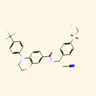 CCS(=O)(=O)c1ccc([C@H](CC#N)NC(=O)c2ccc3c(c2)OCCN3c2ccc(C(F)(F)F)cc2)cc1